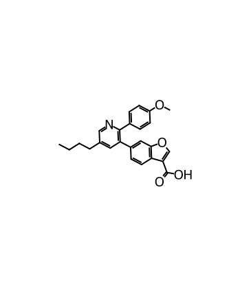 CCCCc1cnc(-c2ccc(OC)cc2)c(-c2ccc3c(C(=O)O)coc3c2)c1